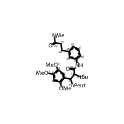 CCCCCC(c1cc(OC)c(OC)cc1OC)C(C(=O)Nc1cccc(CCC(=O)NC)c1)C(C)(C)C